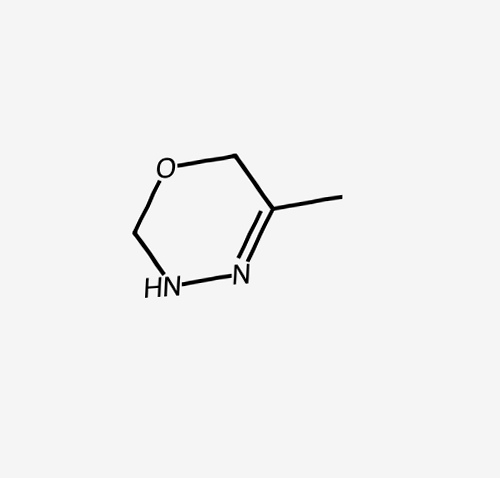 CC1=NNCOC1